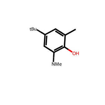 CNc1cc(C(C)(C)C)cc(C)c1O